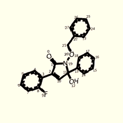 O=C1C(c2ccccc2F)=CC(O)(c2ccccc2)N1OCc1ccccc1